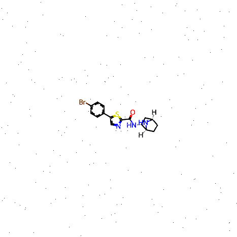 O=C(N[C@@H]1C[C@H]2CC[C@@H]1N2)c1ncc(-c2ccc(Br)cc2)s1